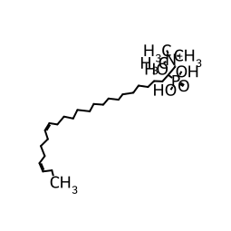 CC/C=C\CCC/C=C\CCCCCCCCCCCCCCCC(O)(C[N+](C)(C)C)P(=O)(O)O